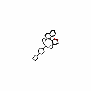 c1ccc2c3c(ccc2c1)OCC(C1CCC(C2CCCC2)CC1)COc1ccc2ccccc2c1-3